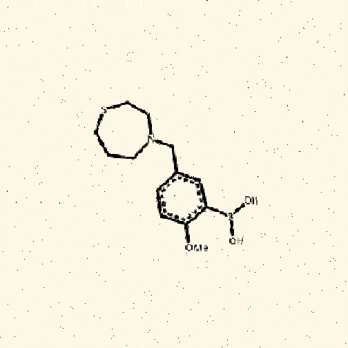 COc1ccc(CN2CCCSCC2)cc1B(O)O